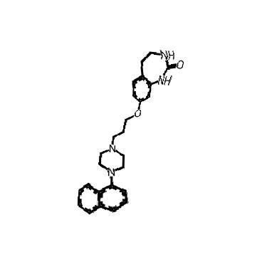 O=C1NCCc2ccc(OCCCN3CCN(c4cccc5ccccc45)CC3)cc2N1